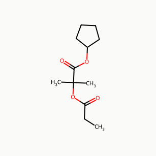 CCC(=O)OC(C)(C)C(=O)OC1CCCC1